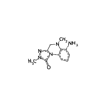 CN1Cc2nn(C)c(=O)n2-c2cccc(N)c21